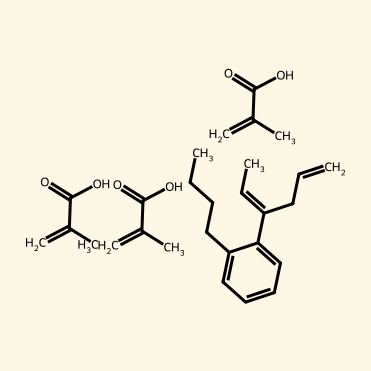 C=C(C)C(=O)O.C=C(C)C(=O)O.C=C(C)C(=O)O.C=CCC(=CC)c1ccccc1CCCC